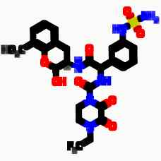 NS(=O)(=O)Nc1cccc(C(NC(=O)N2CCN(CC(F)(F)F)C(=O)C2=O)C(=O)N[C@H]2Cc3cccc(C(=O)O)c3OB2O)c1